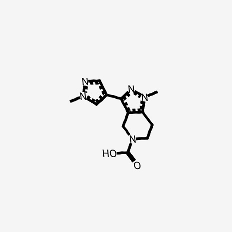 Cn1cc(-c2nn(C)c3c2CN(C(=O)O)CC3)cn1